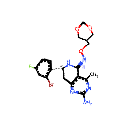 Cc1nc(N)nc2c1/C(=N/OCC1COCOC1)N[C@@H](c1ccc(F)cc1Br)C2